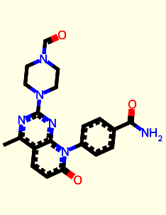 Cc1nc(N2CCN(C=O)CC2)nc2c1ccc(=O)n2-c1ccc(C(N)=O)cc1